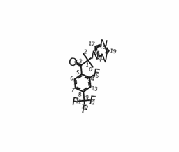 CC(C)(C(=O)c1ccc(C(F)(F)F)cc1F)n1cncn1